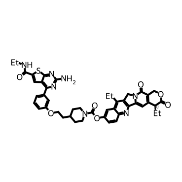 CCNC(=O)c1cc2c(-c3cccc(OCCC4CCN(C(=O)Oc5ccc6nc7c(c(CC)c6c5)Cn5c-7cc6c(c5=O)COC(=O)[C@H]6CC)CC4)c3)nc(N)nc2s1